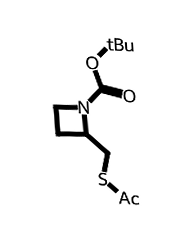 CC(=O)SCC1CCN1C(=O)OC(C)(C)C